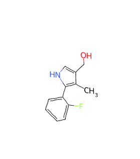 Cc1c(CO)c[nH]c1-c1ccccc1F